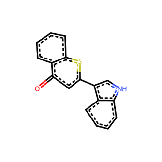 O=c1cc(-c2c[nH]c3ccccc23)sc2ccccc12